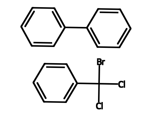 ClC(Cl)(Br)c1ccccc1.c1ccc(-c2ccccc2)cc1